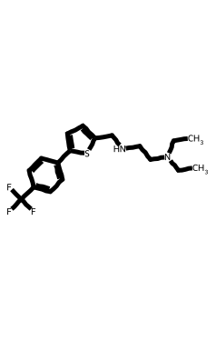 CCN(CC)CCNCc1ccc(-c2ccc(C(F)(F)F)cc2)s1